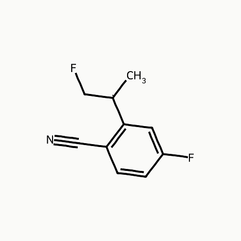 C[C](CF)c1cc(F)ccc1C#N